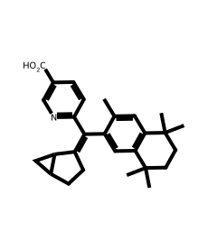 Cc1cc2c(cc1C(=C1CCC3CC13)c1ccc(C(=O)O)cn1)C(C)(C)CCC2(C)C